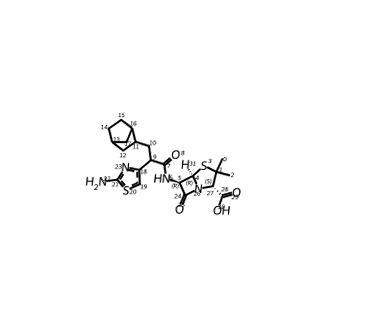 CC1(C)S[C@@H]2[C@H](NC(=O)C(CC3CC4CCC3C4)c3csc(N)n3)C(=O)N2[C@H]1C(=O)O